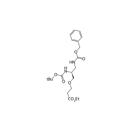 CCOC(=O)CCOC[C@H](CNC(=O)OCc1ccccc1)NC(=O)OC(C)(C)C